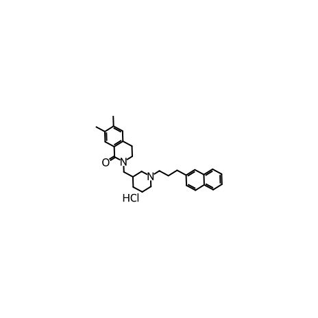 Cc1cc2c(cc1C)C(=O)N(CC1CCCN(CCCc3ccc4ccccc4c3)C1)CC2.Cl